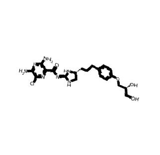 Nc1nc(N)c(C(=O)/N=C2/NC[C@@H](CCCc3ccc(OC[C@H](O)CO)cc3)N2)nc1Cl